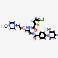 CN1CCN(CCOCC(CNC(=O)c2ccc(N3CCCCC3=O)cc2)NC(=O)c2ccc(Cl)s2)CC1